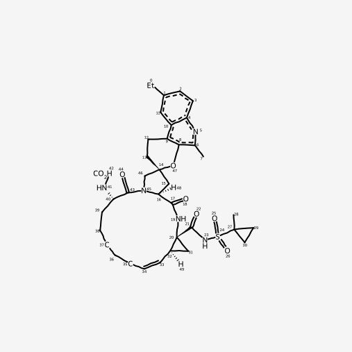 CCc1ccc2nc(C)c3c(c2c1)CC[C@]1(C[C@H]2C(=O)N[C@]4(C(=O)NS(=O)(=O)C5(C)CC5)C[C@H]4C=CCCCCC[C@H](NC(=O)O)C(=O)N2C1)O3